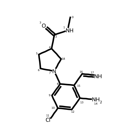 CNC(=O)C1CCN(c2cc(Cl)cc(N)c2C=N)C1